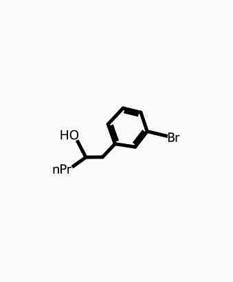 CCCC(O)Cc1cccc(Br)c1